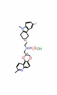 Cc1ccc2c3c(ccc2n1)OC[C@H](CNCC[C@@H]1CCc2c(c4cc(F)ccc4n2C)C1)O3.Cl.O